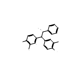 CCCC[C@@H](c1ccccc1)C(c1ccc(O)c(C)c1)c1ccc(O)c(C)c1